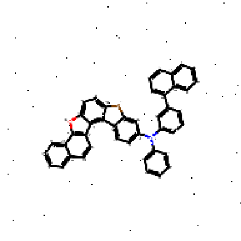 c1ccc(N(c2cccc(-c3cccc4ccccc34)c2)c2ccc3c(c2)sc2ccc4oc5c6ccccc6ccc5c4c23)cc1